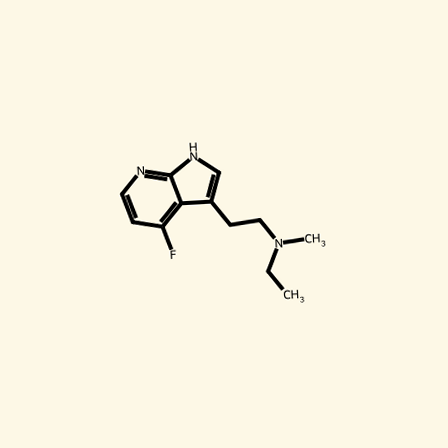 CCN(C)CCc1c[nH]c2nccc(F)c12